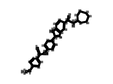 COc1ccc(C(=O)Nc2ccc(-c3cc4cc(C(=O)NC5CCCCCC5)ccc4[nH]3)cc2)cc1